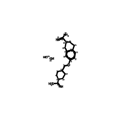 CC(=N)N1CCC(COc2ccc3c(c2)CN(C(=N)N)CC3)CC1.Cl.Cl